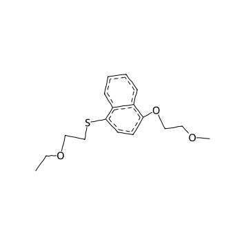 CCOCCSc1ccc(OCCOC)c2ccccc12